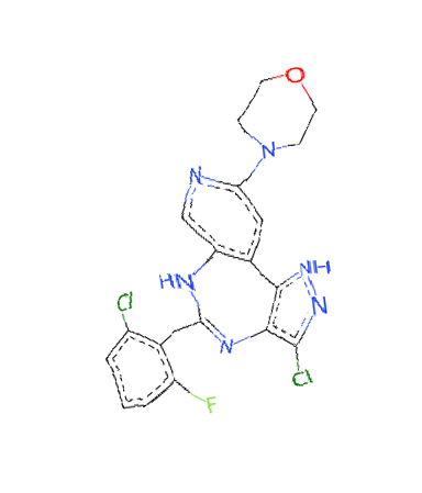 Fc1cccc(Cl)c1C1=Nc2c(Cl)n[nH]c2-c2cc(N3CCOCC3)ncc2N1